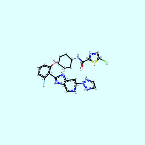 O=C(N[C@H]1CCC[C@@H](n2c(-c3c(O)cccc3F)nc3cnc(-n4nccn4)cc32)C1)c1ncc(Cl)s1